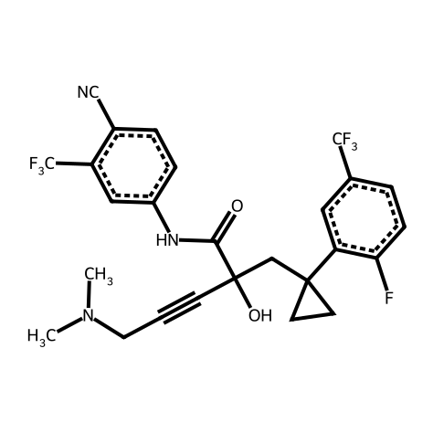 CN(C)CC#CC(O)(CC1(c2cc(C(F)(F)F)ccc2F)CC1)C(=O)Nc1ccc(C#N)c(C(F)(F)F)c1